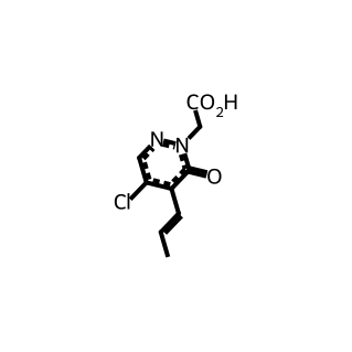 C/C=C/c1c(Cl)cnn(CC(=O)O)c1=O